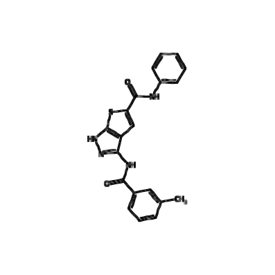 Cc1cccc(C(=O)Nc2n[nH]c3sc(C(=O)Nc4ccccc4)cc23)c1